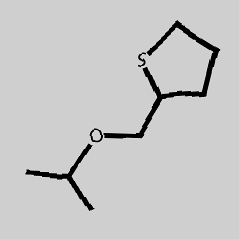 CC(C)OCC1CCCS1